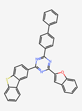 c1ccc(-c2ccc(-c3nc(-c4ccc5sc6ccccc6c5c4)nc(-c4cc5ccccc5o4)n3)cc2)cc1